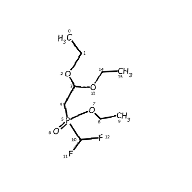 CCOC(CP(=O)(OCC)C(F)F)OCC